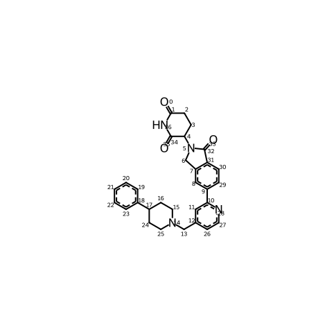 O=C1CCC(N2Cc3cc(-c4cc(CN5CCC(c6ccccc6)CC5)ccn4)ccc3C2=O)C(=O)N1